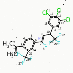 C=C(C)c1ccc(/C(F)=C/C(c2cc(Cl)c(Cl)c(Cl)c2)C(F)(F)F)cc1C(F)(F)F